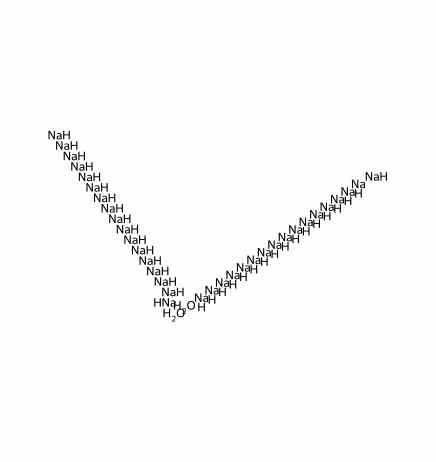 O.O.[NaH].[NaH].[NaH].[NaH].[NaH].[NaH].[NaH].[NaH].[NaH].[NaH].[NaH].[NaH].[NaH].[NaH].[NaH].[NaH].[NaH].[NaH].[NaH].[NaH].[NaH].[NaH].[NaH].[NaH].[NaH].[NaH].[NaH].[NaH].[NaH].[NaH].[NaH].[NaH].[NaH].[NaH]